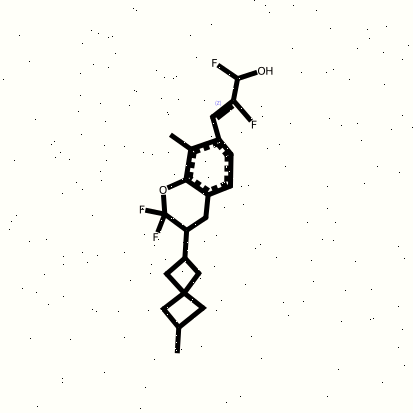 Cc1c(/C=C(\F)C(O)F)ccc2c1OC(F)(F)C(C1CC3(CC(C)C3)C1)C2